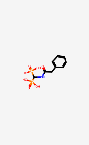 O=C(Cc1ccccc1)NC(P(=O)(O)O)P(=O)(O)O